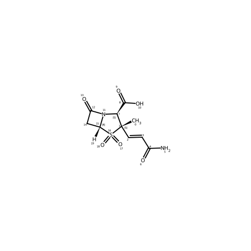 C[C@]1(C=CC(N)=O)[C@H](C(=O)O)N2C(=O)C[C@H]2S1(=O)=O